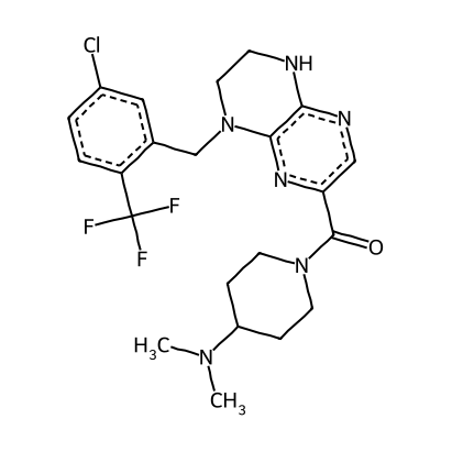 CN(C)C1CCN(C(=O)c2cnc3c(n2)N(Cc2cc(Cl)ccc2C(F)(F)F)CCN3)CC1